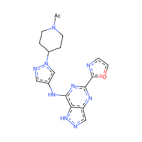 CC(=O)N1CCC(n2cc(Nc3nc(-c4ncco4)nc4cn[nH]c34)cn2)CC1